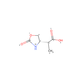 CC(C(=O)O)[C@H]1COC(=O)N1